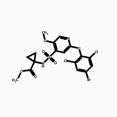 COC(=O)C1(NS(=O)(=O)c2cc(Oc3c(Cl)cc(Br)cc3Cl)ncc2OC)CC1